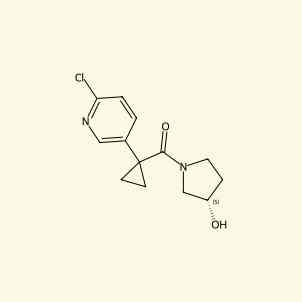 O=C(N1CC[C@H](O)C1)C1(c2ccc(Cl)nc2)CC1